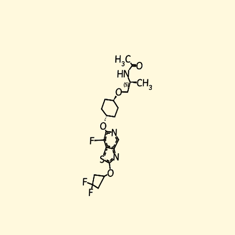 CC(=O)N[C@@H](C)CO[C@H]1CC[C@H](Oc2ncc3nc(OC4CC(F)(F)C4)sc3c2F)CC1